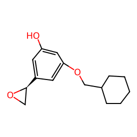 Oc1cc(OCC2CCCCC2)cc([C@H]2CO2)c1